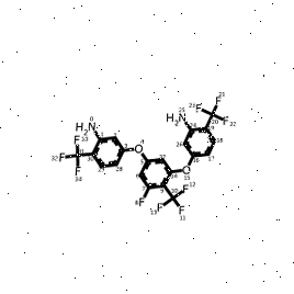 Nc1cc(Oc2cc(F)c(C(F)(F)F)c(Oc3ccc(C(F)(F)F)c(N)c3)c2)ccc1C(F)(F)F